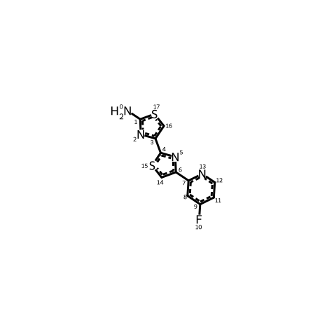 Nc1nc(-c2nc(-c3cc(F)ccn3)cs2)cs1